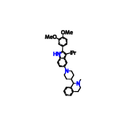 COc1ccc(-c2[nH]c3ccc(N4CCC(C5c6ccccc6CCN5C)CC4)cc3c2C(C)C)cc1OC